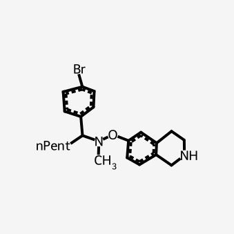 CCCCCC(c1ccc(Br)cc1)N(C)Oc1ccc2c(c1)CCNC2